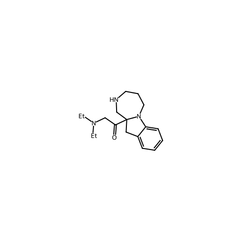 CCN(CC)CC(=O)C12CNCCCN1c1ccccc1C2